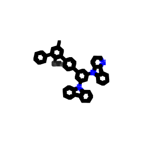 COc1c(-c2ccccc2)cc(C)cc1-c1ccc(-c2cc(-n3c4ccccc4c4ccccc43)cc(-n3c4ccccc4c4ncccc43)c2)cc1